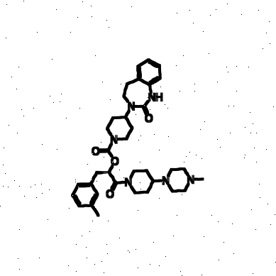 Cc1cccc(C[C@@H](OC(=O)N2CCC(N3CCc4ccccc4NC3=O)CC2)C(=O)N2CCC(N3CCN(C)CC3)CC2)c1